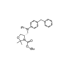 CC(C)N(C[C@H]1COC(C)(C)N1C(=O)OC(C)(C)C)c1ccc(Cc2ccccc2)cc1